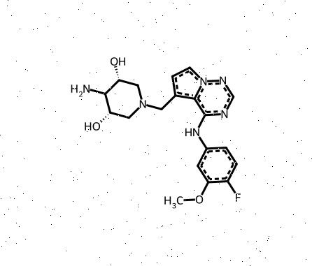 COc1cc(Nc2ncnn3ccc(CN4C[C@@H](O)C(N)[C@@H](O)C4)c23)ccc1F